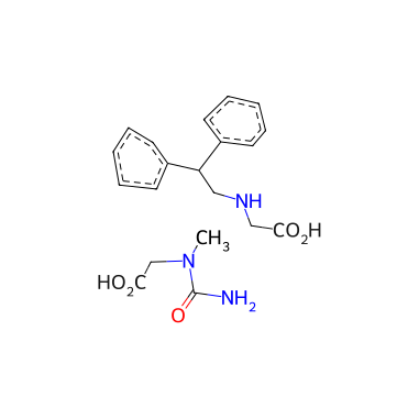 CN(CC(=O)O)C(N)=O.O=C(O)CNCC(c1ccccc1)c1ccccc1